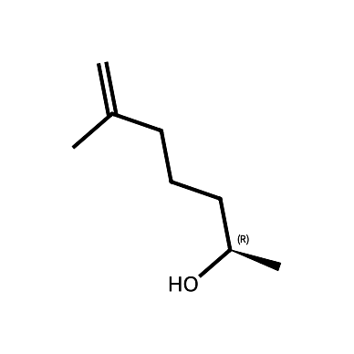 C=C(C)CCC[C@@H](C)O